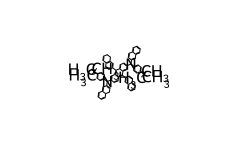 CC(C)(C)c1ccc(N(C2=CCC3C=CC=CC3=C2)c2ccc3c(-c4ccc5ccccc5c4)c4cc(N(c5ccc(C(C)(C)C)cc5)c5ccc6ccccc6c5)ccc4c(-c4ccc5c(c4)CCC=C5)c3c2)cc1